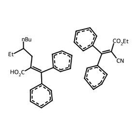 CCCCC(CC)CC(C(=O)O)=C(c1ccccc1)c1ccccc1.CCOC(=O)C(C#N)=C(c1ccccc1)c1ccccc1